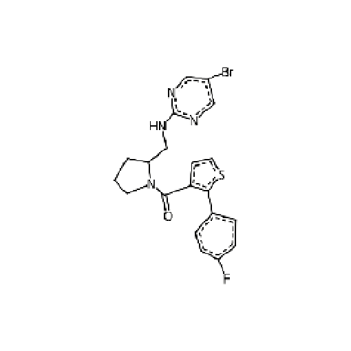 O=C(c1ccsc1-c1ccc(F)cc1)N1CCCC1CNc1ncc(Br)cn1